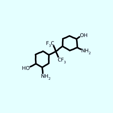 NC1CC(C(C2CCC(O)C(N)C2)(C(F)(F)F)C(F)(F)F)CCC1O